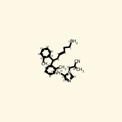 BCCC=CCC(c1ccccc1C)c1ccccc1C.CCCc1cncn1CC(C)C#N